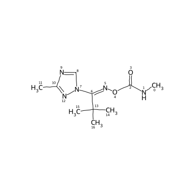 CNC(=O)ON=C(n1cnc(C)n1)C(C)(C)C